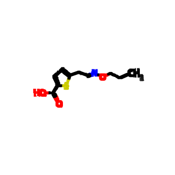 CCCON=CCc1ccc(C(=O)O)s1